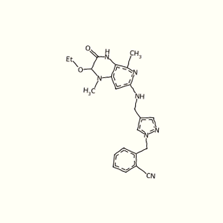 CCOC1C(=O)Nc2c(cc(NCc3cnn(Cc4ccccc4C#N)c3)nc2C)N1C